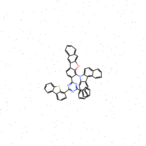 c1ccc(-c2nc(-c3ccc4c(oc5cc6ccccc6cc54)c3-n3c4cc5ccccc5cc4c4c5ccccc5ccc43)nc(-c3cccc4c3sc3ccccc34)n2)cc1